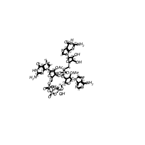 COC1C(OP(=O)(O)OC[C@H]2O[C@@H](n3cnc4c(=O)[nH]c(N)nc43)C(O)C2O)[C@@H](COP(=O)(O)OP(=O)(O)OP(=O)(O)OC[C@H]2O[C@@H](n3c[n+](C)c4c(=O)[nH]c(N)nc43)C(OC(C)=O)C2OC(C)=O)O[C@H]1n1cnc2c(N)ncnc21